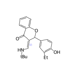 CCc1cc(C2Oc3ccccc3C(=O)/C2=C\NC(C)(C)C)ccc1O